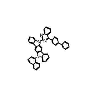 c1ccc(-c2ccc(-c3nc(-n4c5ccccc5c5cc6c(cc54)c4ccccc4n6-c4cccc5ccccc45)nc4ccccc34)cc2)cc1